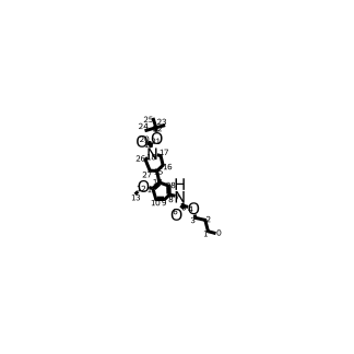 CCCCOC(=O)Nc1ccc(OC)c(C2CCN(C(=O)OC(C)(C)C)CC2)c1